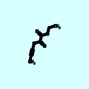 CC#COC(=O)C(=O)OCC